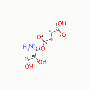 NC(OC(=O)CCC(=O)O)C(O)CO